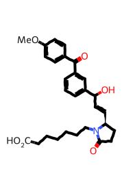 COc1ccc(C(=O)c2cccc(C(O)/C=C/[C@H]3CCC(=O)N3CCCCCCC(=O)O)c2)cc1